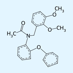 COc1cccc(CN(C(C)=O)c2ccccc2Oc2ccccc2)c1OC